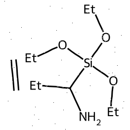 C=C.CCO[Si](OCC)(OCC)C(N)CC